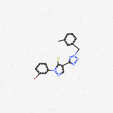 Cc1cccc(Cn2nnc(-c3cnn(-c4cccc(Br)c4)c3S)n2)c1